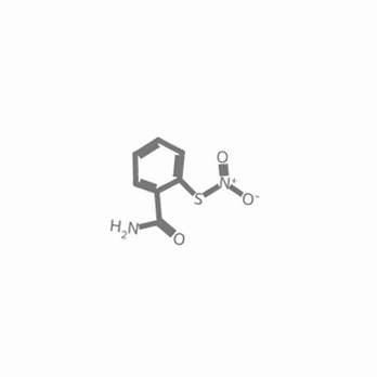 NC(=O)c1ccccc1S[N+](=O)[O-]